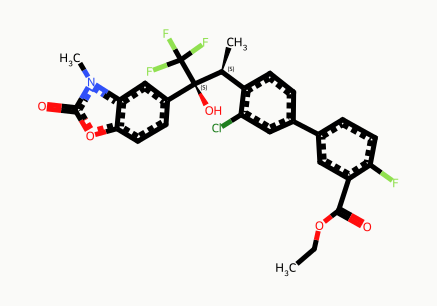 CCOC(=O)c1cc(-c2ccc([C@H](C)[C@](O)(c3ccc4oc(=O)n(C)c4c3)C(F)(F)F)c(Cl)c2)ccc1F